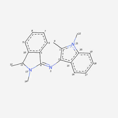 Cc1c(N=C2c3ccccc3C(C)N2C)c2ccccc2n1C